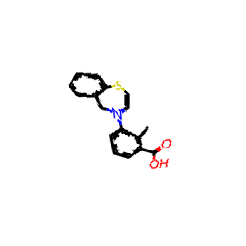 Cc1c(C(=O)O)cccc1N1C=CSc2ccccc2C1